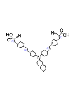 N#C/C(=C\c1ccc(/C=C/c2ccc(N(c3ccc(/C=C/c4ccc(/C=C(\C#N)C(=O)O)cc4)cc3)c3ccc4ccccc4c3)cc2)cc1)C(=O)O